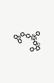 c1ccc(-c2nc(-c3ccc(-c4cccc(-n5c6ccccc6c6ccccc65)c4)cc3)nc(-c3ccc4c(c3)oc3cccc(-c5ccccc5)c34)n2)cc1